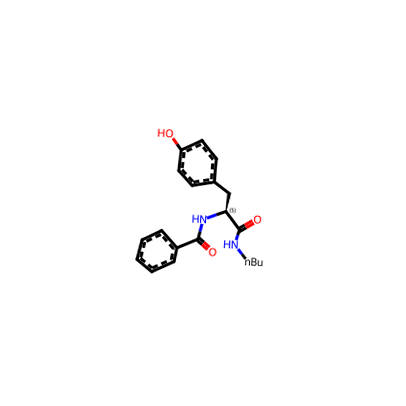 CCCCNC(=O)[C@H](Cc1ccc(O)cc1)NC(=O)c1ccccc1